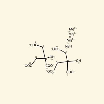 O=C([O-])CC(O)(CC(=O)[O-])C(=O)[O-].O=C([O-])CC(O)(CC(=O)[O-])C(=O)[O-].[Mg+2].[Mg+2].[Mg+2].[NaH]